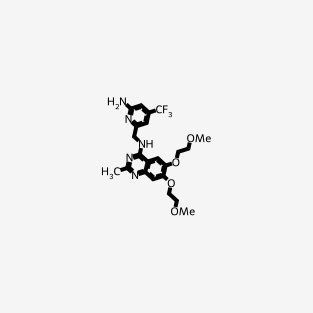 COCCOc1cc2nc(C)nc(NCc3cc(C(F)(F)F)cc(N)n3)c2cc1OCCOC